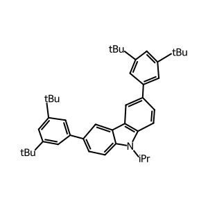 CC(C)n1c2ccc(-c3cc(C(C)(C)C)cc(C(C)(C)C)c3)cc2c2cc(-c3cc(C(C)(C)C)cc(C(C)(C)C)c3)ccc21